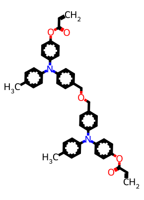 C=CC(=O)Oc1ccc(N(c2ccc(C)cc2)c2ccc(COCc3ccc(N(c4ccc(C)cc4)c4ccc(OC(=O)C=C)cc4)cc3)cc2)cc1